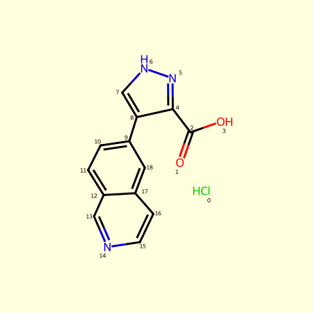 Cl.O=C(O)c1n[nH]cc1-c1ccc2cnccc2c1